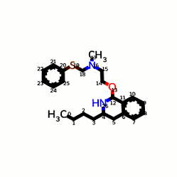 CCCCC1Cc2ccccc2C(OCCN(C)CSc2ccccc2)N1